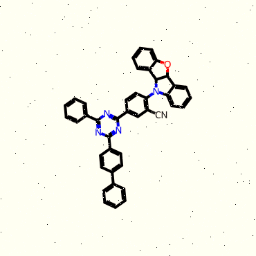 N#Cc1cc(-c2nc(-c3ccccc3)nc(-c3ccc(-c4ccccc4)cc3)n2)ccc1N1c2ccccc2C2Oc3ccccc3C21